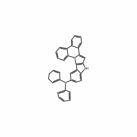 C1=CC(N(c2ccccc2)c2ccc3[nH]c4cc5c6ccccc6c6ccccc6n5c4c3c2)=CCC1